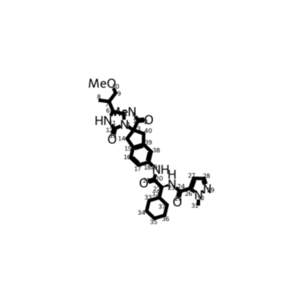 CNC(=O)C1(N2CC(C(C)COC)NC2=O)Cc2ccc(NC(=O)[C@@H](NC(=O)c3ccnn3C)C3CCCCC3)cc2C1